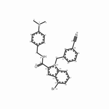 CN(C)c1ccc(CNC(=O)c2cc3c(Br)cccc3n2Cc2cccc(C#N)c2)cc1